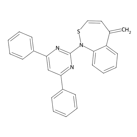 C=C1C=CSN(c2nc(-c3ccccc3)cc(-c3ccccc3)n2)c2ccccc21